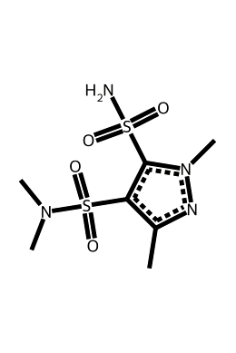 Cc1nn(C)c(S(N)(=O)=O)c1S(=O)(=O)N(C)C